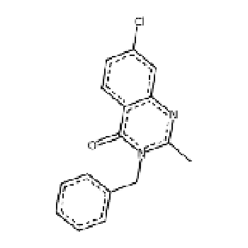 Cc1nc2cc(Cl)ccc2c(=O)n1Cc1ccccc1